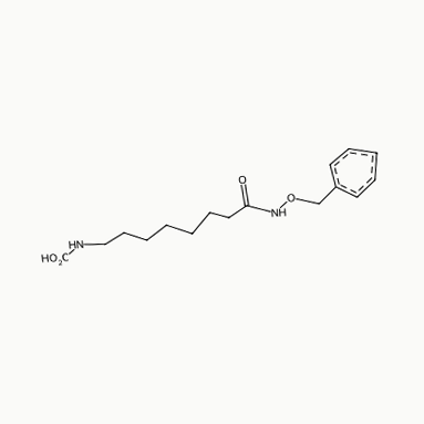 O=C(O)NCCCCCCCC(=O)NOCc1ccccc1